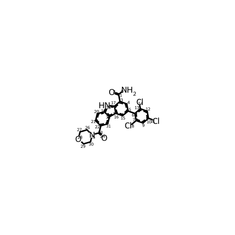 NC(=O)c1cc(-c2c(Cl)cc(Cl)cc2Cl)cc2c1[nH]c1ccc(C(=O)N3CCOCC3)cc12